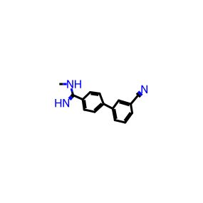 CNC(=N)c1ccc(-c2cccc(C#N)c2)cc1